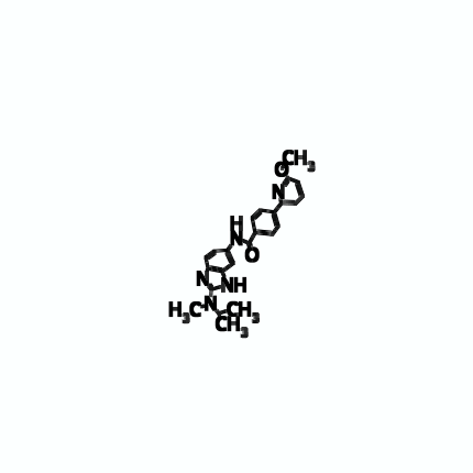 COc1cccc(-c2ccc(C(=O)Nc3ccc4nc(N(C)C(C)C)[nH]c4c3)cc2)n1